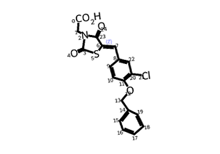 O=C(O)CN1C(=O)S/C(=C\c2ccc(OCc3ccccc3)c(Cl)c2)C1=O